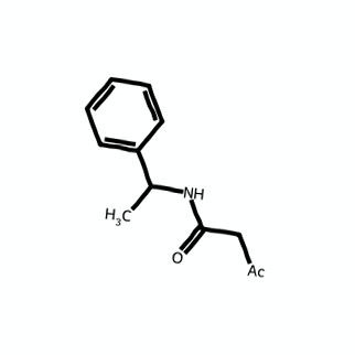 CC(=O)CC(=O)NC(C)c1ccccc1